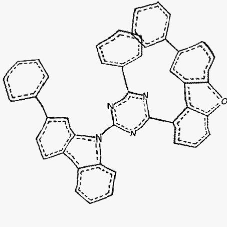 c1ccc(-c2ccc3oc4cccc(-c5nc(-c6ccccc6)nc(-n6c7ccccc7c7ccc(-c8ccccc8)cc76)n5)c4c3c2)cc1